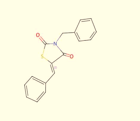 O=C1S/C(=C\c2ccccc2)C(=O)N1Cc1ccccc1